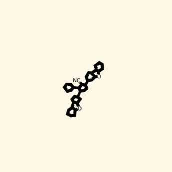 N#Cc1c(-c2ccc3c(c2)oc2ccccc23)ccc(-c2ccc3c(c2)oc2ccccc23)c1-c1ccccc1